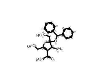 CNC(=O)C1=C(CC=O)SC(CC(=O)O)(OC(c2ccccc2)c2ccccc2)C1N